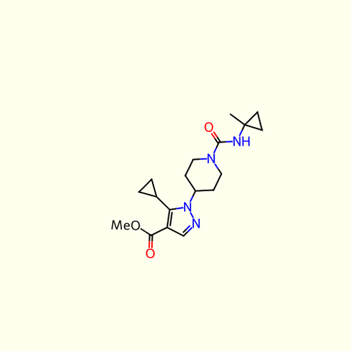 COC(=O)c1cnn(C2CCN(C(=O)NC3(C)CC3)CC2)c1C1CC1